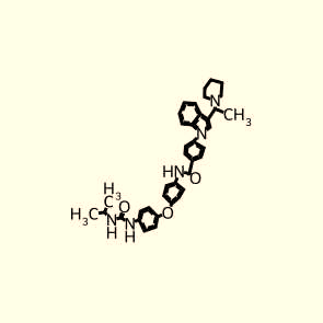 CC(C)NC(=O)Nc1ccc(Oc2ccc(NC(=O)c3ccc(-n4cc(C(C)N5CCCCC5)c5ccccc54)cc3)cc2)cc1